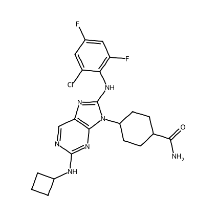 NC(=O)C1CCC(n2c(Nc3c(F)cc(F)cc3Cl)nc3cnc(NC4CCC4)nc32)CC1